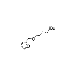 CCC(C)CCCCOCc1ccco1